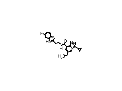 BCc1cc(C(=O)NCCc2nc3ccc(F)cc3[nH]2)c2nnc(C3CC3)n2c1